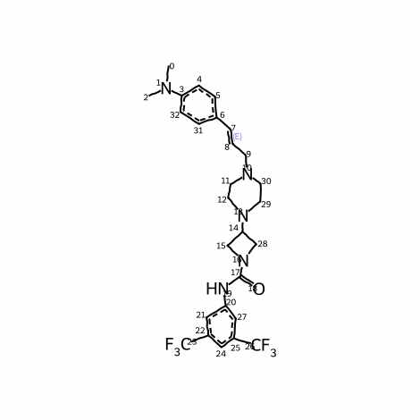 CN(C)c1ccc(/C=C/CN2CCN(C3CN(C(=O)Nc4cc(C(F)(F)F)cc(C(F)(F)F)c4)C3)CC2)cc1